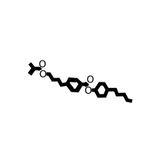 C=C(C)C(=O)OCCCCc1ccc(C(=O)OC2CCC(CCCCC)CC2)cc1